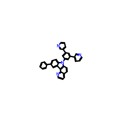 c1ccc(-c2ccc3c(c2)c2c4ncccc4ccc2n3-c2cc(-c3cccnc3)cc(-c3cccnc3)c2)cc1